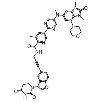 Cc1cc(-c2ncc(N(C)c3cc(C4CCOCC4)c4c(c3)n(C)c(=O)n4C)cn2)cnc1C(=O)NCC#Cc1ccc2occ(N3CCC(=O)NC3=O)c2c1